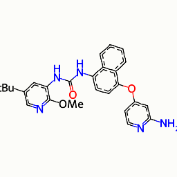 COc1ncc(C(C)(C)C)cc1NC(=O)Nc1ccc(Oc2ccnc(N)c2)c2ccccc12